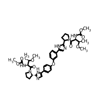 COC(=O)N[C@H](C(=O)N1CCCC1c1ncc(-c2cccc(Oc3ccc(-c4cnc([C@@H]5CCCN5C(=O)[C@@H](NC(=O)OC)[C@@H](C)OC)[nH]4)cc3)c2)[nH]1)[C@@H](C)OC